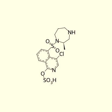 C[C@@H]1CNCCCN1S(=O)(=O)c1cccc2c(OS(=O)(=O)O)ncc(Cl)c12